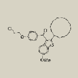 COc1ccc2c(C(=O)c3ccc(OCCCl)cc3)c(C3CCCCCCCCCCC3)sc2c1